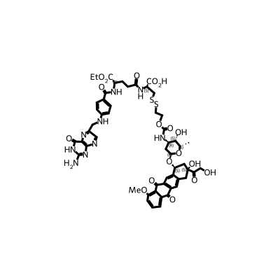 CCOC(=O)[C@@H](CCC(=O)N[C@H](CSSCCOC(=O)N[C@@H]1C[C@H](O[C@H]2C[C@](O)(C(=O)CO)Cc3cc4c(cc32)C(=O)c2c(OC)cccc2C4=O)O[C@@H](C)[C@H]1O)C(=O)O)NC(=O)c1ccc(NCc2cnc3nc(N)[nH]c(=O)c3n2)cc1